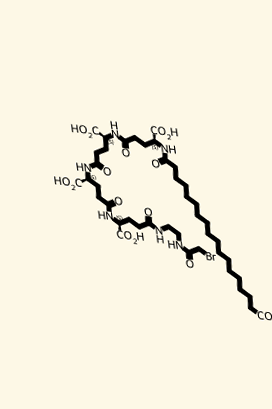 O=C(O)CCCCCCCCCCCCCCCCC(=O)N[C@@H](CCC(=O)N[C@@H](CCC(=O)N[C@@H](CCC(=O)N[C@@H](CCC(=O)NCCNC(=O)CBr)C(=O)O)C(=O)O)C(=O)O)C(=O)O